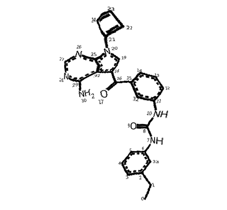 CCc1cccc(NC(=O)Nc2cccc(C(=O)c3cn(C4=CC=C4)c4ncnc(N)c34)c2)c1